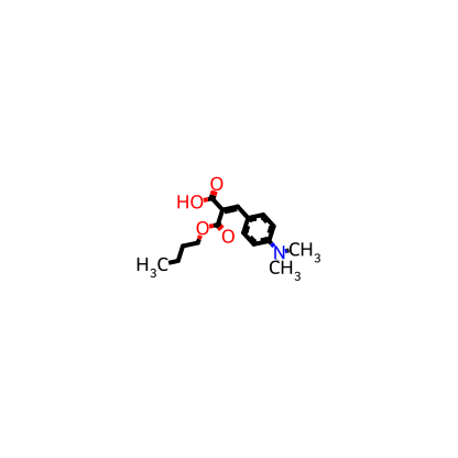 CCCCOC(=O)/C(=C\c1ccc(N(C)C)cc1)C(=O)O